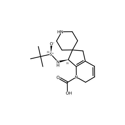 CC(C)(C)[S@@+]([O-])N[C@@H]1C2=C(C=CCN2C(=O)O)CC12CCNCC2